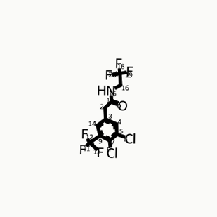 O=C(Cc1cc(Cl)c(Cl)c(C(F)(F)F)c1)NCC(F)(F)F